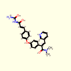 CN(C)C(=O)/C(=C/c1cccnc1)c1ccc(Oc2ccc(/C=C/C(=O)NC(N)=O)cc2)cc1